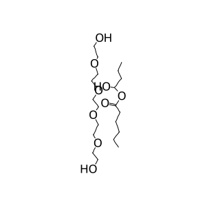 CCCCCC(=O)OC(O)CCC.OCCOCCOCCOCCOCCO